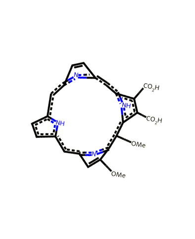 COC1=Cc2cc3ccc(cc4nc(cc5[nH]c(c(OC)c1n2)c(C(=O)O)c5C(=O)O)C=C4)[nH]3